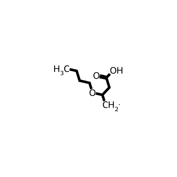 [CH2]C(CC(=O)O)OCCCC